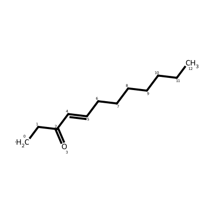 [CH2]CC(=O)/C=C/CCCCCCC